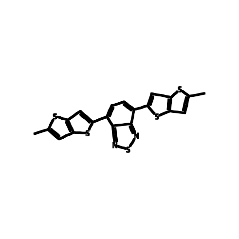 Cc1cc2sc(-c3ccc(-c4cc5sc(C)cc5s4)c4nsnc34)cc2s1